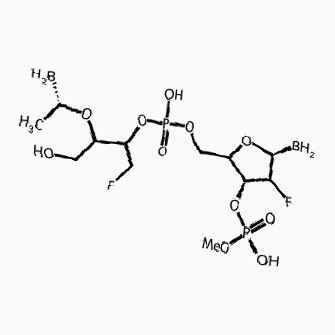 B[C@@H]1OC(COP(=O)(O)OC(CF)C(CO)O[C@@H](B)C)[C@H](OP(=O)(O)OC)C1F